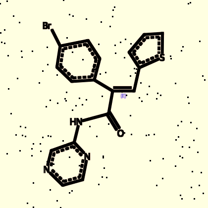 O=C(Nc1cnccn1)/C(=C/c1cccs1)c1ccc(Br)cc1